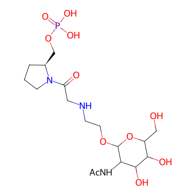 CC(=O)NC1C(OCCNCC(=O)N2CCC[C@H]2COP(=O)(O)O)OC(CO)C(O)C1O